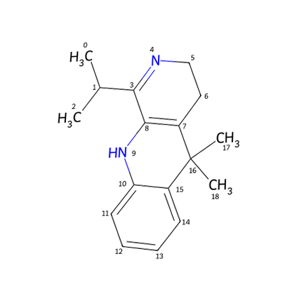 CC(C)C1=NCCC2=C1Nc1ccccc1C2(C)C